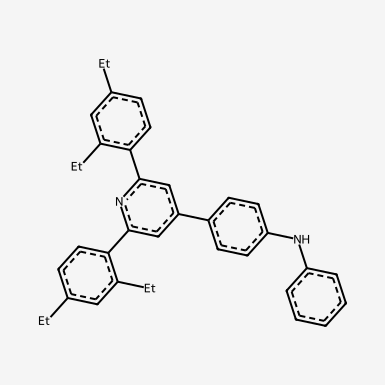 CCc1ccc(-c2cc(-c3ccc(Nc4ccccc4)cc3)cc(-c3ccc(CC)cc3CC)n2)c(CC)c1